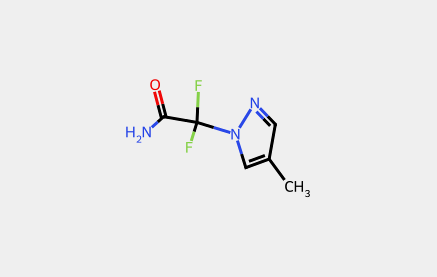 Cc1cnn(C(F)(F)C(N)=O)c1